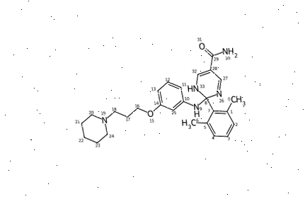 Cc1cccc(C)c1C1(Nc2cccc(OCCCN3CCCCC3)c2)N=CC(C(N)=O)=CN1